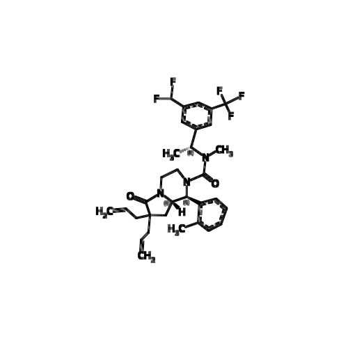 C=CCC1(CC=C)C[C@H]2[C@H](c3ccccc3C)N(C(=O)N(C)[C@H](C)c3cc(C(F)F)cc(C(F)(F)F)c3)CCN2C1=O